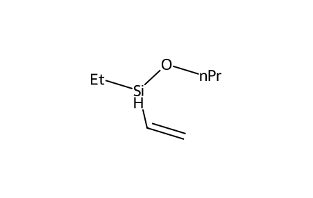 C=C[SiH](CC)OCCC